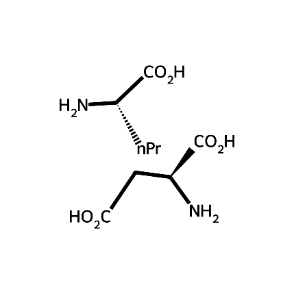 CCC[C@H](N)C(=O)O.N[C@@H](CC(=O)O)C(=O)O